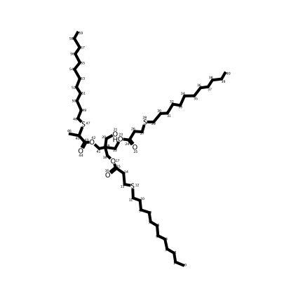 CCCCCCCCCCCCSCCC(=O)OCC(CO)(COC(=O)CCSCCCCCCCCCCCC)COC(=O)C(C)SCCCCCCCCCCCC